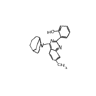 Cc1ccc2c(N3CC4CCCC3C4)nc(-c3ccccc3O)nc2c1